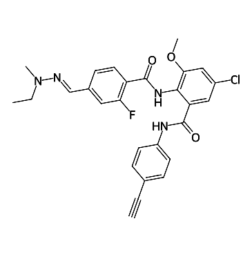 C#Cc1ccc(NC(=O)c2cc(Cl)cc(OC)c2NC(=O)c2ccc(C=NN(C)CC)cc2F)cc1